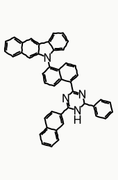 c1ccc(C2N=C(c3cccc4c(-n5c6ccccc6c6cc7ccccc7cc65)cccc34)N=C(c3ccc4ccccc4c3)N2)cc1